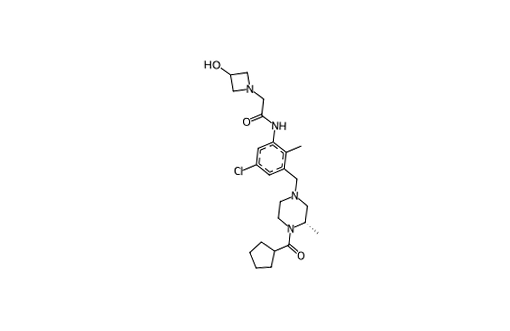 Cc1c(CN2CCN(C(=O)C3CCCC3)[C@@H](C)C2)cc(Cl)cc1NC(=O)CN1CC(O)C1